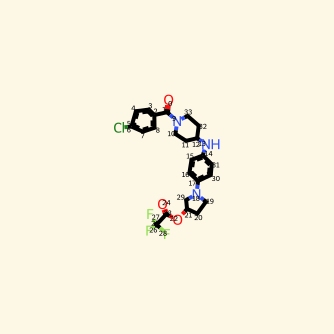 O=C(c1ccc(Cl)cc1)N1CCC(Nc2ccc(N3CCC(OC(=O)C(F)(F)F)C3)cc2)CC1